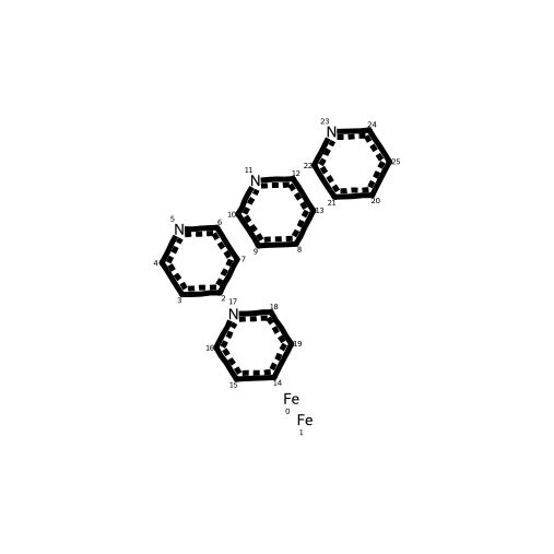 [Fe].[Fe].c1ccncc1.c1ccncc1.c1ccncc1.c1ccncc1